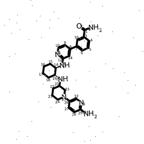 NC(=O)c1cccc(-c2ccnc(N[C@@H]3CCCC[C@H]3NC3CCCN(c4ccc(N)nc4)C3)c2)c1